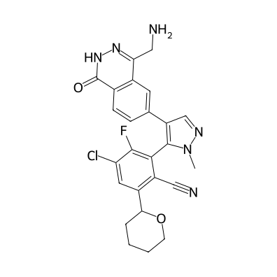 Cn1ncc(-c2ccc3c(=O)[nH]nc(CN)c3c2)c1-c1c(F)c(Cl)cc(C2CCCCO2)c1C#N